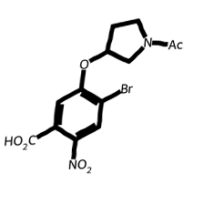 CC(=O)N1CCC(Oc2cc(C(=O)O)c([N+](=O)[O-])cc2Br)C1